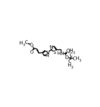 CCOC(=O)/C=C/c1cnn(-c2ncc(CNC(=O)OC(C)(C)C)s2)c1